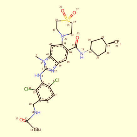 Cn1c(Nc2c(Cl)ccc(CNC(=O)C(C)(C)C)c2Cl)nc2cc(C(=O)N[C@H]3CC[C@H](C(F)(F)F)CC3)c(N3CCS(=O)(=O)CC3)cc21